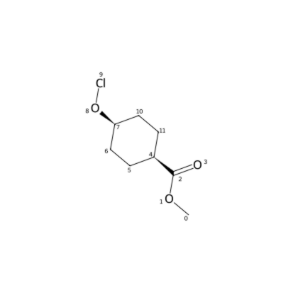 COC(=O)[C@H]1CC[C@@H](OCl)CC1